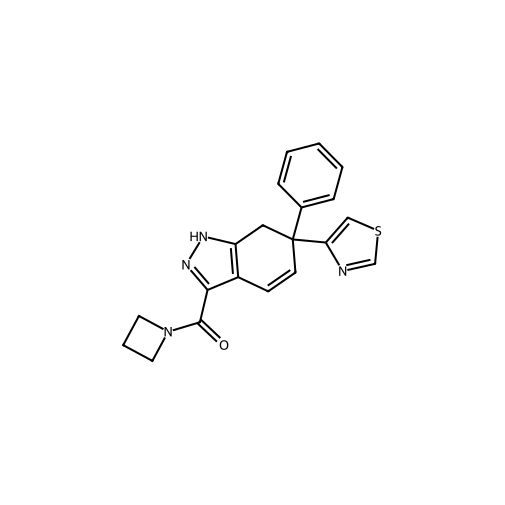 O=C(c1n[nH]c2c1C=CC(c1ccccc1)(c1cscn1)C2)N1CCC1